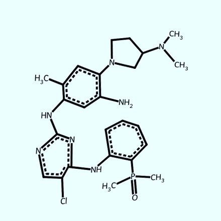 Cc1cc(N2CCC(N(C)C)C2)c(N)cc1Nc1ncc(Cl)c(Nc2ccccc2P(C)(C)=O)n1